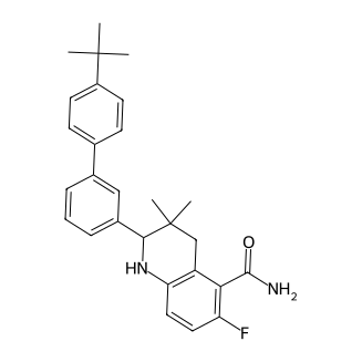 CC(C)(C)c1ccc(-c2cccc(C3Nc4ccc(F)c(C(N)=O)c4CC3(C)C)c2)cc1